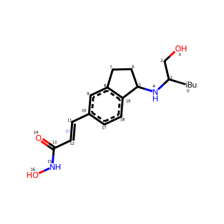 CCC(C)C(CO)NC1CCc2cc(/C=C/C(=O)NO)ccc21